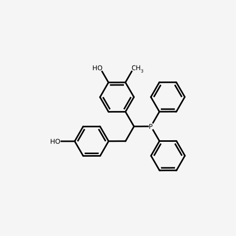 Cc1cc(C(Cc2ccc(O)cc2)P(c2ccccc2)c2ccccc2)ccc1O